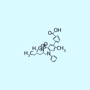 CCCCC1CN(c2ccccc2)c2cc(C)c(-c3cccc(C(=O)O)c3)cc2S(=O)(=O)N1C